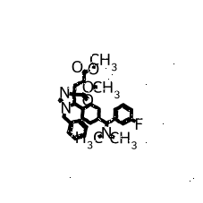 COC(=O)CCC1(C(=O)OC)N=CN(Cc2ccccc2)C1C1CCC(C(c2cccc(F)c2)N(C)C)CC1